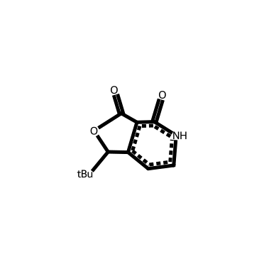 CC(C)(C)C1OC(=O)c2c1cc[nH]c2=O